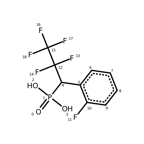 O=P(O)(O)C(c1ccccc1F)C(F)(F)C(F)(F)F